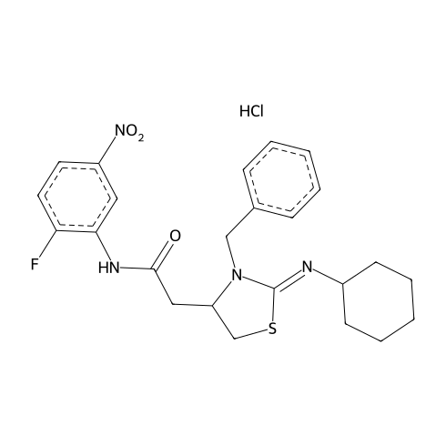 Cl.O=C(CC1CS/C(=N\C2CCCCC2)N1Cc1ccccc1)Nc1cc([N+](=O)[O-])ccc1F